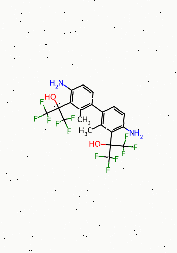 Cc1c(-c2ccc(N)c(C(O)(C(F)(F)F)C(F)(F)F)c2C)ccc(N)c1C(O)(C(F)(F)F)C(F)(F)F